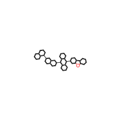 c1ccc2c(-c3ccc4ccc(-c5c6ccccc6c(-c6ccc7c(c6)oc6ccccc67)c6ccccc56)cc4c3)cccc2c1